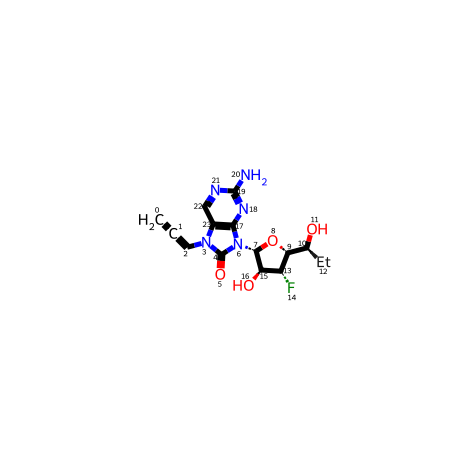 C=C=Cn1c(=O)n([C@@H]2O[C@H]([C@@H](O)CC)[C@H](F)[C@H]2O)c2nc(N)ncc21